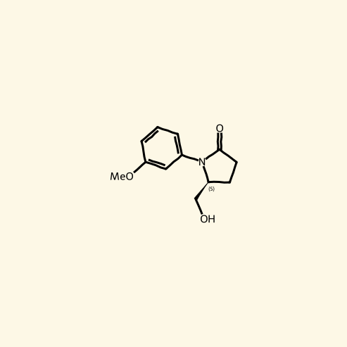 COc1cccc(N2C(=O)CC[C@H]2CO)c1